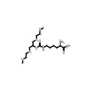 COCCOCC(COCCOC)OC(=O)NCCCC[C@@H](N)C(=O)O